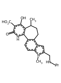 CC(C)NCc1cc2c3c(ccc2n1C)-c1[nH]c(=O)c(C(=O)O)c(O)c1C(C)CC3